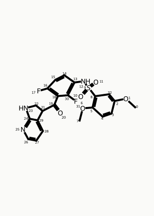 COc1ccc(OC)c(S(=O)(=O)Nc2ccc(F)c(C(=O)C3CNc4ncccc43)c2F)c1